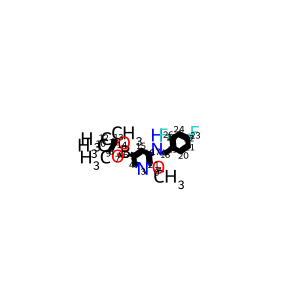 COc1ncc(B2OC(C)(C)C(C)(C)O2)cc1NCc1ccc(F)cc1F